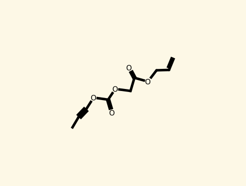 C=CCOC(=O)COC(=O)OC#CC